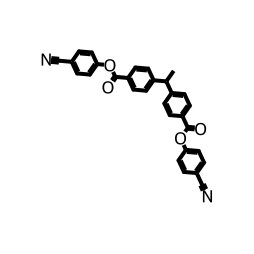 CC(c1ccc(C(=O)Oc2ccc(C#N)cc2)cc1)c1ccc(C(=O)Oc2ccc(C#N)cc2)cc1